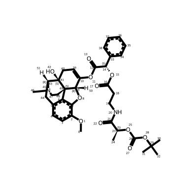 COc1ccc2c3c1O[C@H]1C(OC(=O)[C@@H](OC(=O)CCNC(=O)[C@H](C)OC(=O)OC(C)(C)C)c4ccccc4)=CC[C@@]4(O)[C@@H](C2)N(C)CC[C@]314